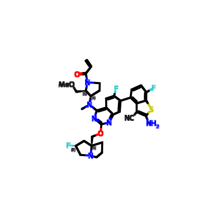 C=CC(=O)N1CC[C@@H](N(C)c2nc(OC[C@@]34CCCN3C[C@H](F)C4)nc3cc(-c4ccc(F)c5sc(N)c(C#N)c45)c(F)cc23)[C@H]1COC